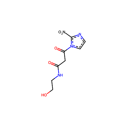 O=C(CC(=O)n1ccnc1[N+](=O)[O-])NCCO